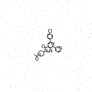 CC(=O)N1CCC(n2cnc3c(-c4cccnc4)nc(-c4ccc(Cl)cc4)cc3c2=O)CC1